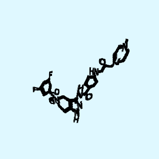 CN1CCN(CC(=O)CNc2ccc(C(=O)Nc3n[nH]c4c3CN(S(=O)(=O)c3cc(F)cc(F)c3)CC4)cc2)CC1